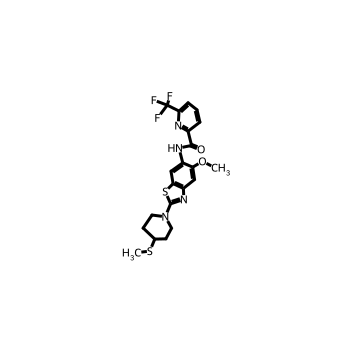 COc1cc2nc(N3CCC(SC)CC3)sc2cc1NC(=O)c1cccc(C(F)(F)F)n1